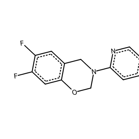 Fc1cc2c(cc1F)OCN(c1ccccn1)C2